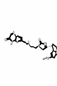 COc1cc(F)c2nccc([C@@H]3CN(CCCNCc4ccc5c(n4)NC(=O)CO5)C(=O)O3)c2c1